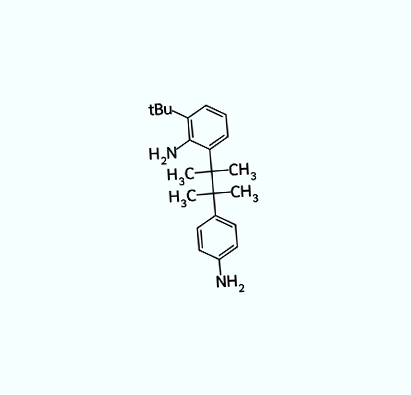 CC(C)(C)c1cccc(C(C)(C)C(C)(C)c2ccc(N)cc2)c1N